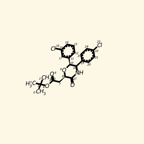 CC(C)(C)OC(=O)C[C@H]1O[C@@H](c2cccc(Cl)c2)C(c2ccc(Cl)cc2)NC1=O